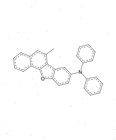 Cc1cc2ccccc2c2oc3ccc(N(c4ccccc4)c4ccccc4)cc3c12